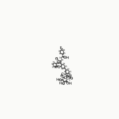 CO[C@@H]1OC(CS(=O)(=O)Oc2ccc(-c3ccc([C@@H]4[C@@H](CC[C@H](O)c5ccc(F)cc5)C(=O)N4c4ccccc4)c(O)c3)cc2)[C@H](O)[C@@H](O)[C@@H]1O